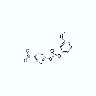 COc1cccc(OC(=O)Oc2ccc([N+](=O)[O-])cc2)c1